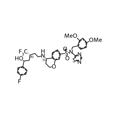 COc1ccc(CN(c2ncns2)S(=O)(=O)c2ccc3c(c2)OCC[C@@H]3NCC[C@H](CC(O)c2ccc(F)cc2)C(F)(F)F)c(OC)c1